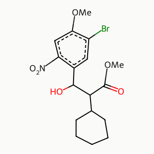 COC(=O)C(C1CCCCC1)C(O)c1cc(Br)c(OC)cc1[N+](=O)[O-]